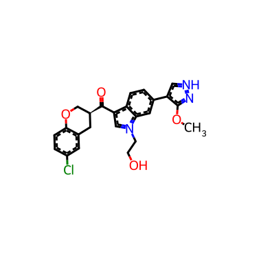 COc1n[nH]cc1-c1ccc2c(C(=O)[C@@H]3COc4ccc(Cl)cc4C3)cn(CCO)c2c1